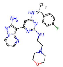 C[C@H](Nc1cc(-c2c(N)nn3cccnc23)nc(NCCN2CCOCC2)n1)c1ccc(F)cc1